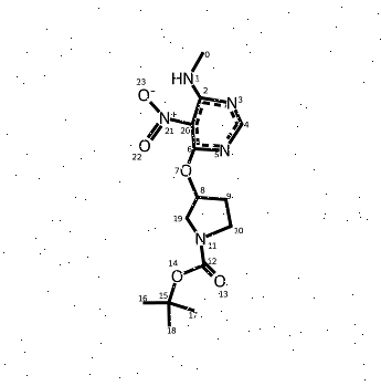 CNc1ncnc(OC2CCN(C(=O)OC(C)(C)C)C2)c1[N+](=O)[O-]